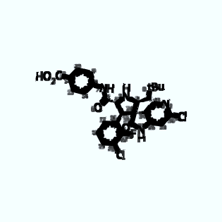 CC(C)(C)C[C@@H]1N[C@@H](C(=O)Nc2ccc(C(=O)O)cc2)[C@H](c2cccc(Cl)c2F)[C@]12C(=O)Nc1cc(Cl)ncc12